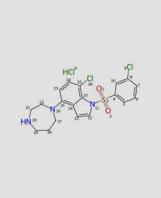 Cl.O=S(=O)(c1cccc(Cl)c1)n1ccc2c(N3CCCNCC3)ccc(Cl)c21